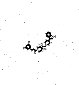 O=C(/C=C/c1cc(F)cc(F)c1)N1CCC(O)(C(O)CN2CCC(c3c[nH]c4ccccc34)CC2)CC1